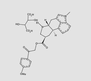 CCN1C[C@H](C(=O)OCC(=O)c2ccc(OC)cc2)C[C@@H]2c3cccc4c3c(cn4C)C[C@H]21.O=C(O)C(O)C(O)C(=O)O